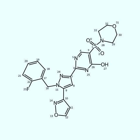 O=S(=O)(c1cnc(-c2cc(-c3ccon3)n(Cc3ccccc3F)n2)nc1O)N1CCOCC1